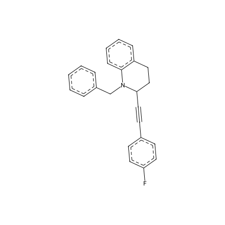 Fc1ccc(C#CC2CCc3ccccc3N2Cc2ccccc2)cc1